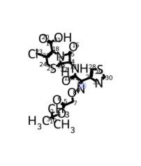 CC(C)(C)OC(=O)CO/N=C(\C(=O)NC1C(=O)N2C(C(=O)O)=C(Cl)CS[C@H]12)c1cscn1